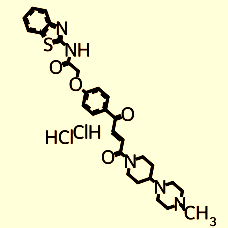 CN1CCN(C2CCN(C(=O)C=CC(=O)c3ccc(OCC(=O)Nc4nc5ccccc5s4)cc3)CC2)CC1.Cl.Cl